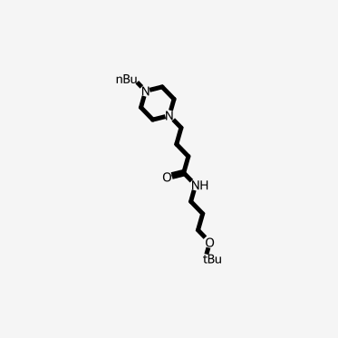 CCCCN1CCN(CCCC(=O)NCCCOC(C)(C)C)CC1